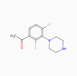 CC(=O)c1ccc(F)c(N2CCNCC2)c1F